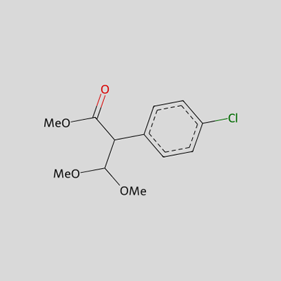 COC(=O)C(c1ccc(Cl)cc1)C(OC)OC